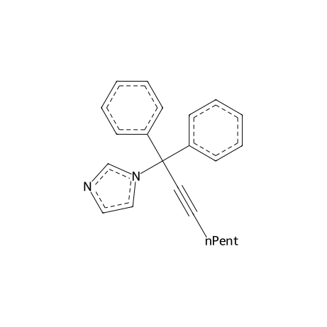 CCCCCC#CC(c1ccccc1)(c1ccccc1)n1ccnc1